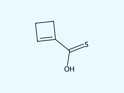 OC(=S)C1=CCC1